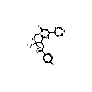 CC1(C)NCn2c(nc(-c3ccncn3)cc2=O)C1CC(=O)c1ccc(Cl)cc1